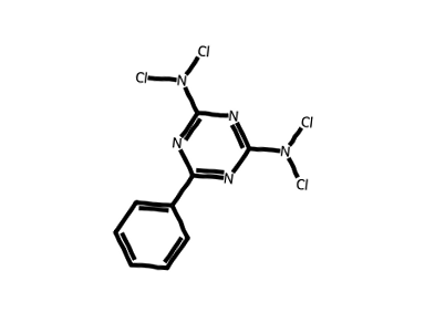 ClN(Cl)c1nc(-c2ccccc2)nc(N(Cl)Cl)n1